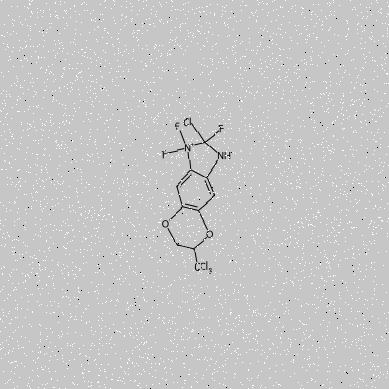 FC1(Cl)Nc2cc3c(cc2[N+]1(F)F)OCC(C(Cl)(Cl)Cl)O3